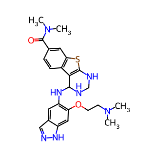 CN(C)CCOc1cc2[nH]ncc2cc1NC1NCNc2sc3cc(C(=O)N(C)C)ccc3c21